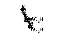 O=C(O)CCOc1c(C=CC(=O)c2cccc(CC(=O)O)c2)cccc1OCCCCOc1ccc(F)cc1